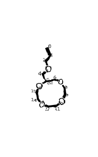 C=CCOC[C@H]1COCCOCCOCCO1